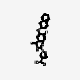 O=C(O)c1cnn(-c2nc3cc(Cl)c(Oc4ccc5ccccc5c4)cc3c(=O)[nH]2)c1